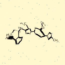 CC[C@H](Nc1nnc(-c2ccc(-n3cnc(C)c3)c(OC)n2)cc1C)c1ccccc1C#N